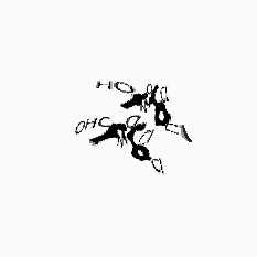 Cc1nn2c(-c3ccc(Cl)cc3Cl)c(C)oc2c1C=O.Cc1nn2c(-c3ccc(Cl)cc3Cl)c(C)oc2c1O